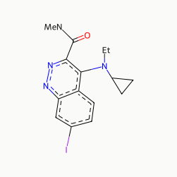 CCN(c1c(C(=O)NC)nnc2cc(I)ccc12)C1CC1